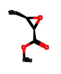 CCCCOC(=O)[C@H]1O[C@@H]1C(C)(C)C